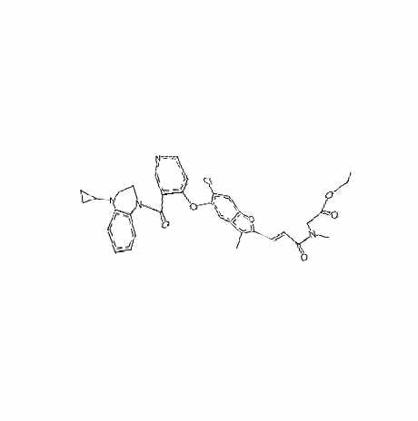 CCOC(=O)CN(C)C(=O)/C=C/c1oc2cc(Cl)c(Oc3ccncc3C(=O)N3CCN(C4CC4)c4ccccc43)cc2c1C